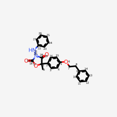 CC1(c2ccc(OCCc3ccccc3)cc2)OC(=O)N(Nc2ccccc2)C1=O